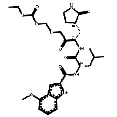 CCOC(=O)OCOCC(=O)[C@H](C[C@@H]1CCNC1=O)NC(=O)[C@H](CC(C)C)NC(=O)c1cc2c(OC)cccc2[nH]1